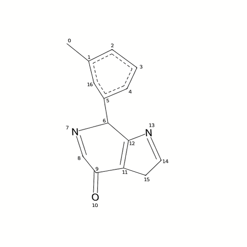 Cc1cccc(C2N=CC(=O)C3=C2N=CC3)c1